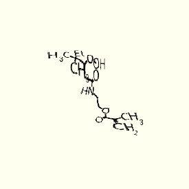 C=C(C)C(=O)OCCNC(=O)CC(OO)C(C)(C)CC